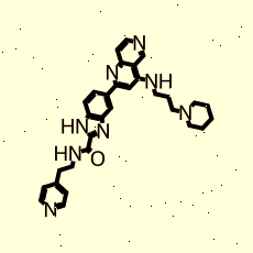 O=C(NCCc1ccncc1)c1nc2cc(-c3cc(NCCCN4CCCCC4)c4cnccc4n3)ccc2[nH]1